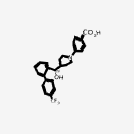 O=C(O)c1ccc(N2CCC([C@H](O)c3ccccc3-c3ccc(C(F)(F)F)cc3)CC2)cc1